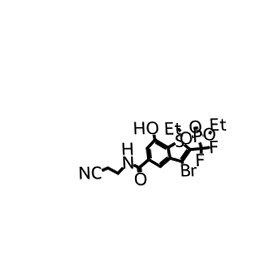 CCOP(=O)(OCC)C(F)(F)c1sc2c(O)cc(C(=O)NCCC#N)cc2c1Br